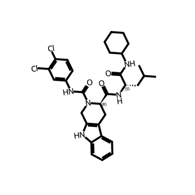 CC(C)C[C@H](NC(=O)[C@H]1Cc2c([nH]c3ccccc23)CN1C(=O)Nc1ccc(Cl)c(Cl)c1)C(=O)NC1CCCCC1